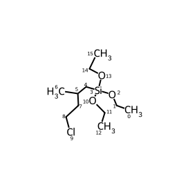 CCO[Si](CC(C)CCCl)(OCC)OCC